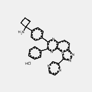 Cl.NC1(c2ccc(-c3nc4ccc5nnc(-c6cnccn6)n5c4nc3-c3ccccc3)cc2)CCC1